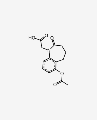 CC(=O)Oc1cccc2c1CCCC(=O)N2CC(=O)O